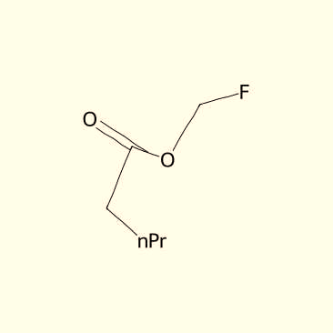 CCCCC(=O)OCF